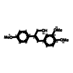 COc1ccc(C(=Cc2ccc(OC)c(OC)c2)CO)cc1